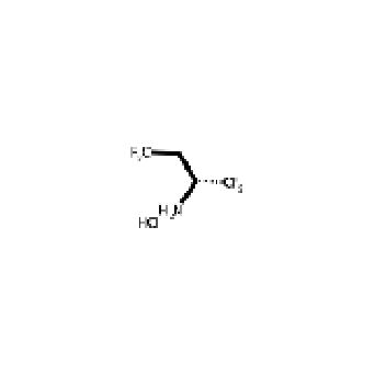 Cl.N[C@H](CC(F)(F)F)C(F)(F)F